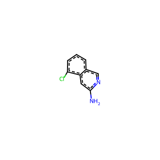 Nc1cc2c(Cl)cccc2cn1